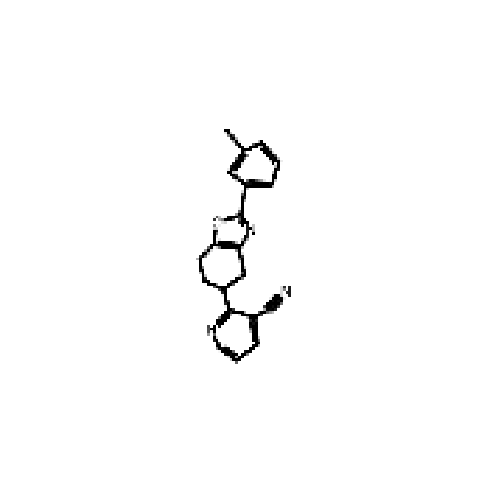 Cc1cccc(-c2nc3c(o2)CCC(c2ncccc2C#N)C3)c1